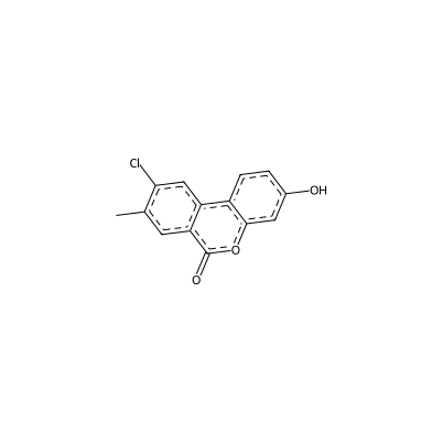 Cc1cc2c(=O)oc3cc(O)ccc3c2cc1Cl